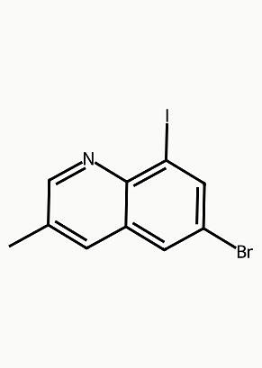 Cc1cnc2c(I)cc(Br)cc2c1